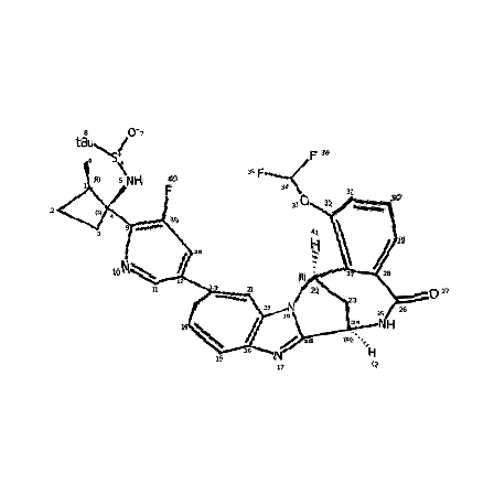 C[C@@H]1CC[C@@]1(N[S+]([O-])C(C)(C)C)c1ncc(-c2ccc3nc4n(c3c2)[C@@H]2C[C@H]4NC(=O)c3cccc(OC(F)F)c32)cc1F